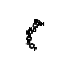 C[C@@H](c1ccc(F)cc1)N1CCN(c2cc(Oc3ccc4c(c3)NCCO4)ncn2)CC1